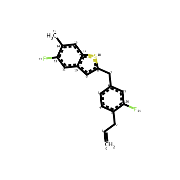 C=CCc1ccc(Cc2cc3cc(F)c(C)cc3s2)cc1F